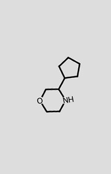 C1CCC(C2COCCN2)C1